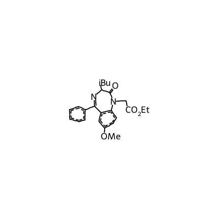 CCOC(=O)CN1C(=O)C(C(C)CC)N=C(c2ccccc2)c2cc(OC)ccc21